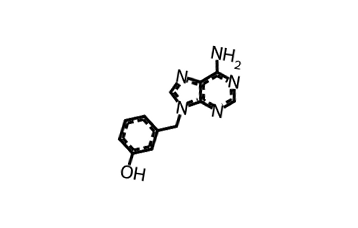 Nc1ncnc2c1ncn2Cc1cccc(O)c1